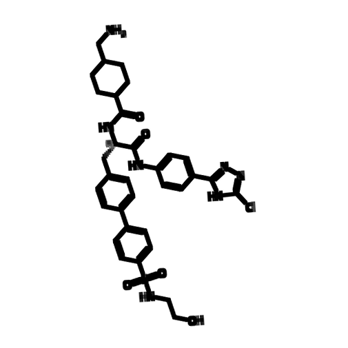 NCC1CCC(C(=O)N[C@@H](Cc2ccc(-c3ccc(S(=O)(=O)NCCO)cc3)cc2)C(=O)Nc2ccc(-c3nnc(Cl)[nH]3)cc2)CC1